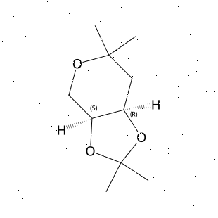 CC1(C)C[C@H]2OC(C)(C)O[C@H]2CO1